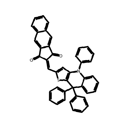 O=C1C(=Cc2cc3c(s2)C(c2ccccc2)(c2ccccc2)c2ccccc2N3c2ccccc2)C(=O)c2cc3ccccc3cc21